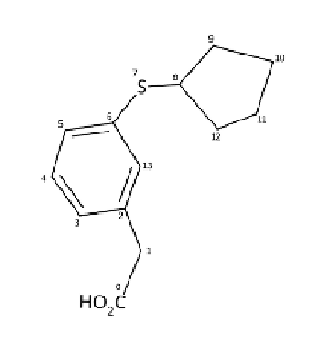 O=C(O)Cc1cccc(SC2CCCC2)c1